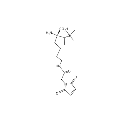 CC([C@@](N)(CCCCNC(=O)CN1C(=O)C=CC1=O)C(=O)O)[Si](C)(C)C